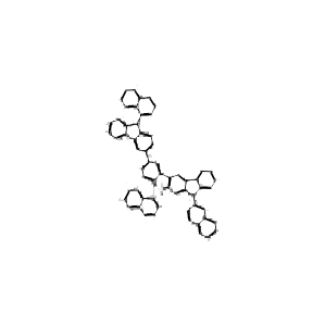 c1ccc2c(c1)-c1cc3c4cc(-c5ccc6c(c5)-c5ccccc5C6c5cccc6ccccc56)ccc4n(-c4cccc5ccccc45)c3cc1C2c1ccc2ccccc2c1